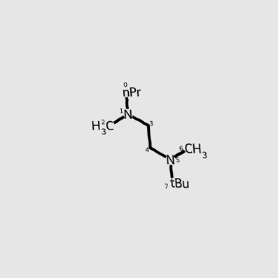 CCCN(C)CCN(C)C(C)(C)C